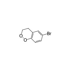 Brc1ccc2c(c1)CCOO2